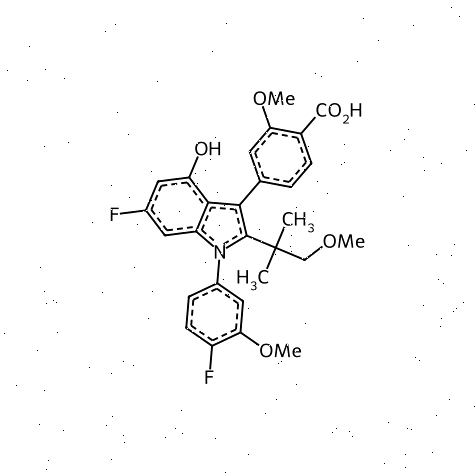 COCC(C)(C)c1c(-c2ccc(C(=O)O)c(OC)c2)c2c(O)cc(F)cc2n1-c1ccc(F)c(OC)c1